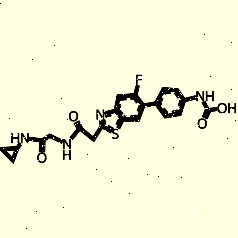 O=C(O)Nc1ccc(-c2cc3sc(CC(=O)NCC(=O)NC4CC4)nc3cc2F)cc1